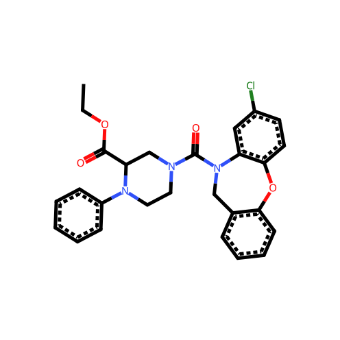 CCOC(=O)C1CN(C(=O)N2Cc3ccccc3Oc3ccc(Cl)cc32)CCN1c1ccccc1